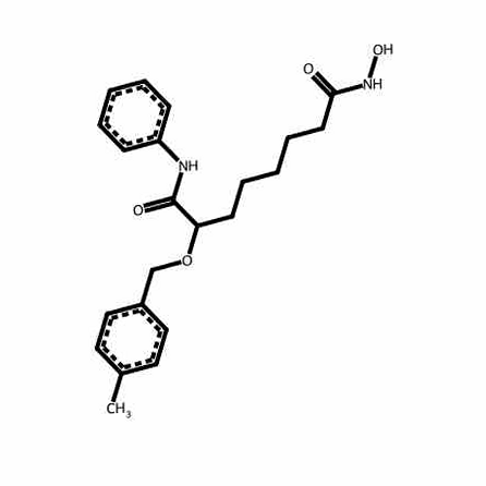 Cc1ccc(COC(CCCCCC(=O)NO)C(=O)Nc2ccccc2)cc1